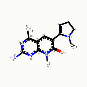 CCn1c(=O)c(C2=CCCN2C)cc2c(C)nc(N)nc21